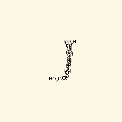 O=C(O)Cc1cc(I)c(Oc2cc(I)c(OCc3cn(Cn4cc(COc5c(I)cc(Oc6c(I)cc(CC(=O)O)cc6I)cc5I)nn4)nn3)c(I)c2)c(I)c1